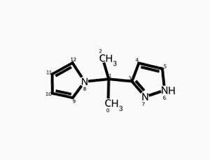 CC(C)(c1cc[nH]n1)n1cccc1